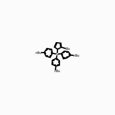 CCCCc1ccc([Si]([C]2C=CC=C2C(C)CC)(c2ccc(CCCC)cc2)c2ccc(CCCC)cc2)cc1